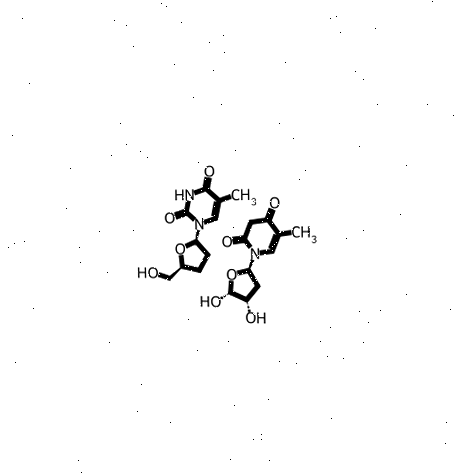 CC1=CN([C@H]2C[C@H](O)[C@H](O)O2)C(=O)CC1=O.Cc1cn([C@H]2CC[C@@H](CO)O2)c(=O)[nH]c1=O